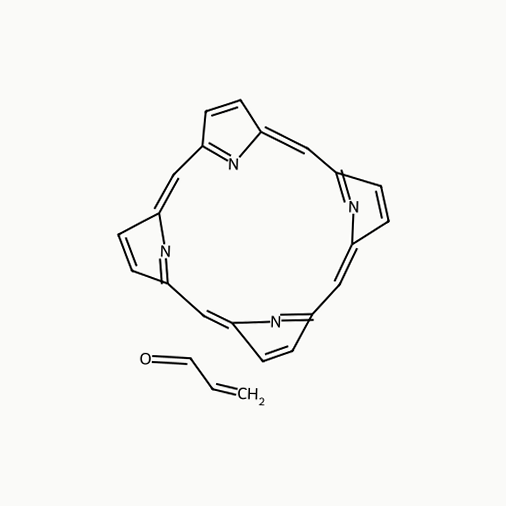 C1=CC2=NC1=CC1=NC(=CC3=NC(=CC4=NC(=C2)C=C4)C=C3)C=C1.C=CC=O